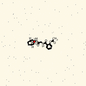 CC(=O)Oc1ccccc1C(=O)NCC(=O)N[C@H]1C[C@H]2CC[C@@H](C1)N2C(=O)O